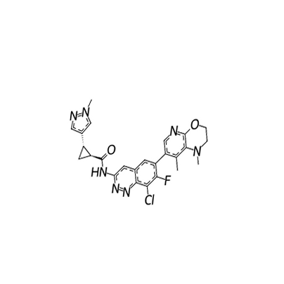 Cc1c(-c2cc3cc(NC(=O)[C@H]4C[C@@H]4c4cnn(C)c4)nnc3c(Cl)c2F)cnc2c1N(C)CCO2